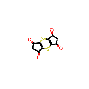 O=C1CC(=O)C2=C1SC1=C(S2)C(=O)CC1=O